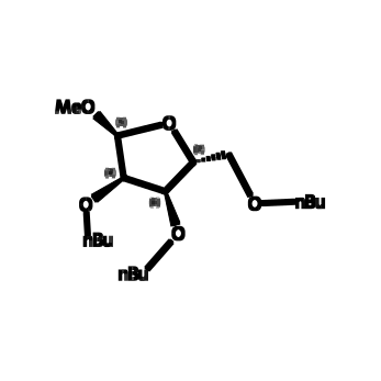 CCCCOC[C@H]1O[C@H](OC)[C@H](OCCCC)[C@@H]1OCCCC